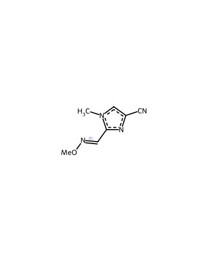 CO/N=C/c1nc(C#N)cn1C